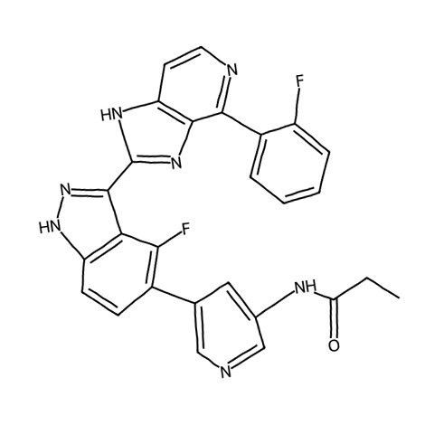 CCC(=O)Nc1cncc(-c2ccc3[nH]nc(-c4nc5c(-c6ccccc6F)nccc5[nH]4)c3c2F)c1